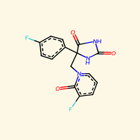 O=C1NC(=O)C(Cn2cccc(F)c2=O)(c2ccc(F)cc2)N1